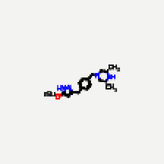 CCCCOc1cc(Cc2ccc(CN3C[C@@H](C)N[C@@H](C)C3)cc2)n[nH]1